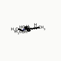 CC#CC[C@@H](C)[C@H](O)/C=C/[C@@H]1[C@H]2c3cccc(CCCCNCCCC)c3O[C@H]2C[C@H]1O